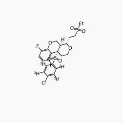 [2H]c1c([2H])c(S(=O)(=O)[C@@]23CCO[C@@H](CCS(=O)(=O)CC)[C@@H]2COc2c(F)ccc(F)c23)c([2H])c([2H])c1Cl